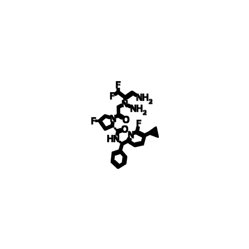 N/C=C(/C(F)F)N(N)CC(=O)N1C[C@H](F)C[C@H]1C(=O)N[C@@H](c1ccccc1)c1ccc(C2CC2)c(F)n1